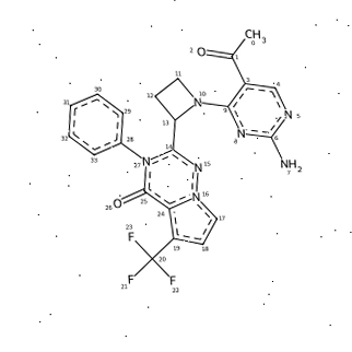 CC(=O)c1cnc(N)nc1N1CCC1c1nn2ccc(C(F)(F)F)c2c(=O)n1-c1ccccc1